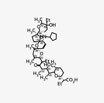 CCC(C(=O)O)[C@H]1CC[C@H](C)C([C@@H](C)[C@H](O)[C@H](C)C(=O)[C@H](CC)[C@H]2O[C@]3(C=C[C@@H](NC4CCCC4)[C@]4(CC[C@@](C)([C@H]5CC[C@](O)(CC)[C@H](C)O5)O4)O3)[C@H](C)C[C@@H]2C)O1